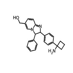 NC1(c2ccc(C3N=C4C=CC(CO)=CN4C3c3ccccc3)cc2)CCC1